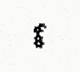 Nc1cnn(C2Cc3ccccc3C2)c1